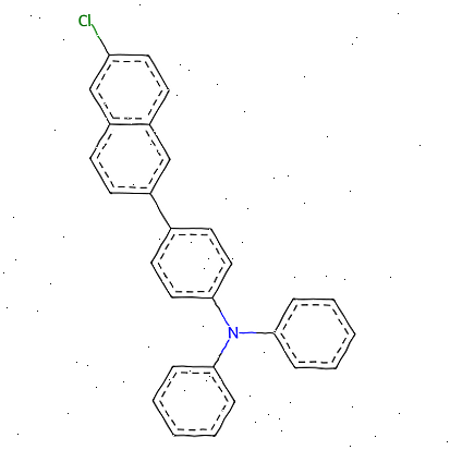 Clc1ccc2cc(-c3ccc(N(c4ccccc4)c4ccccc4)cc3)ccc2c1